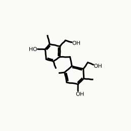 Cc1cc(O)c(C)c(CO)c1Cc1c(C)cc(O)c(C)c1CO